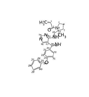 C=CC(=O)N1CCCC1(C)CNc1ncncc1C(=N)c1ccc(Oc2ccccc2)cc1